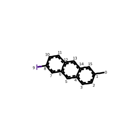 Cc1ccc2cc3cc(I)ccc3cc2c1